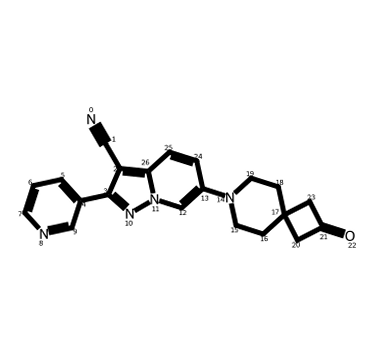 N#Cc1c(-c2cccnc2)nn2cc(N3CCC4(CC3)CC(=O)C4)ccc12